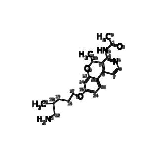 CC(=O)Nc1nccc2c1C(C)Oc1cc(OCCCC(C)CN)ccc1-2